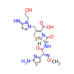 CON=C(C(=O)N[C@@H]1C(=O)N2C(C(=O)O)=C(Cn3ccc(=N)n3CCO)CS[C@H]12)c1csc(N)n1